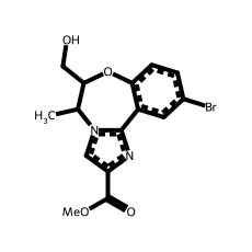 COC(=O)c1cn2c(n1)-c1cc(Br)ccc1OC(CO)C2C